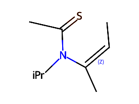 C/C=C(/C)N(C(C)=S)C(C)C